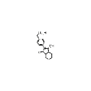 O=C(O)Cc1ccc(N2C(=O)C3CCCCC3C2O)cc1